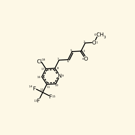 COCC(=O)/C=C/Cc1ncc(C(F)(F)F)cc1Cl